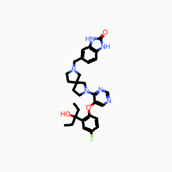 CCC(O)(CC)c1cc(F)ccc1Oc1cncnc1N1CCC2(CCN(Cc3ccc4[nH]c(=O)[nH]c4c3)C2)C1